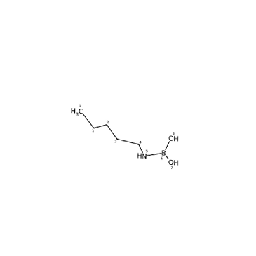 CCCCCNB(O)O